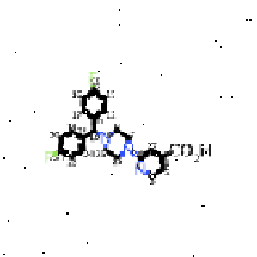 O=C(O)c1ccnc(N2CCN(C(c3ccc(F)cc3)c3ccc(F)cc3)CC2)c1